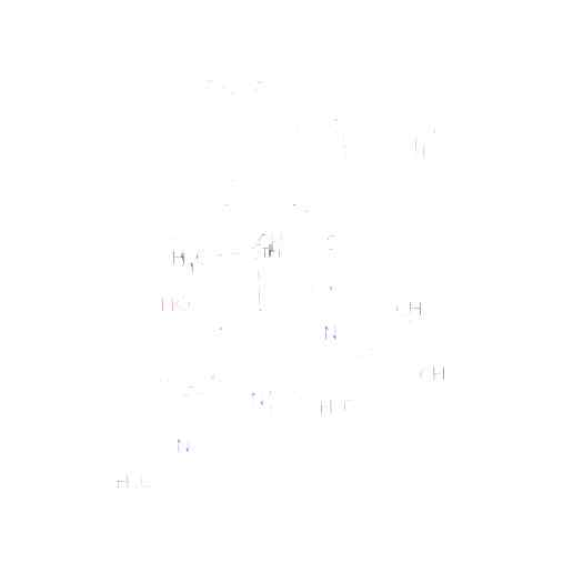 Cn1cnc(C(O)C2([SiH](C)C)C(=O)N(C(C)(C)C)C2SC(c2ccccc2)(c2ccccc2)c2ccccc2)c1